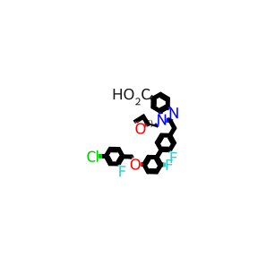 O=C(O)c1ccc2nc(Cc3ccc(-c4cc(OCc5ccc(Cl)cc5F)ccc4F)c(F)c3)n(C[C@@H]3CCO3)c2c1